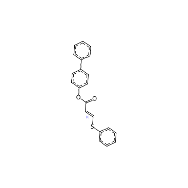 O=C(/C=C/Sc1ccccc1)Oc1ccc(-c2ccccc2)cc1